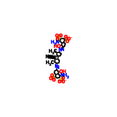 Cc1cc(-c2ccc(N=Nc3ccc4c(S(=O)(=O)[O-])cc(S(=O)(=O)[O-])c(N)c4c3O)c(C)c2)ccc1N=Nc1ccc2c(S(=O)(=O)[O-])cc(S(=O)(=O)[O-])c(N)c2c1O.[Na+].[Na+].[Na+].[Na+]